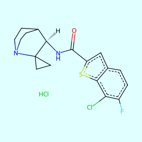 Cl.O=C(N[C@@H]1C2CCN(CC2)C12CC2)c1cc2ccc(F)c(Cl)c2s1